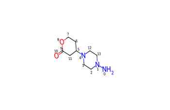 NN1CCN(C2CCOC(=O)C2)CC1